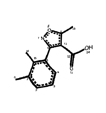 Cc1cccc(-c2noc(C)c2C(=O)O)c1C